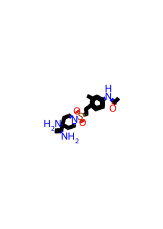 C=C(N)C1(N)CCN(S(=O)(=O)CCc2ccc(NC(C)=O)cc2C)CC1